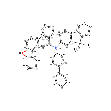 CC1(C)c2ccccc2-c2cc(-c3ccccc3)c(N(c3ccc(-c4ccccc4)cc3)c3ccc4ccc5oc6ccccc6c5c4c3)cc21